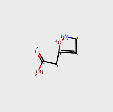 O=C(O)CC1=CCNO1